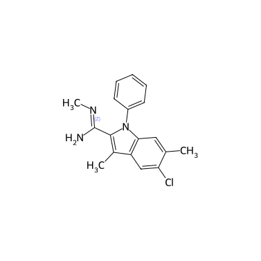 C/N=C(\N)c1c(C)c2cc(Cl)c(C)cc2n1-c1ccccc1